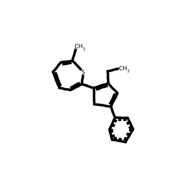 CCC1=C(C2=CC=CC=C(C)S2)CC(c2ccccc2)=C1